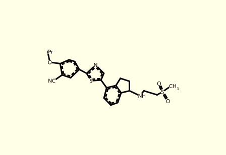 CC(C)Oc1ccc(-c2ncc(-c3cccc4c3CCC4NCCS(C)(=O)=O)s2)cc1C#N